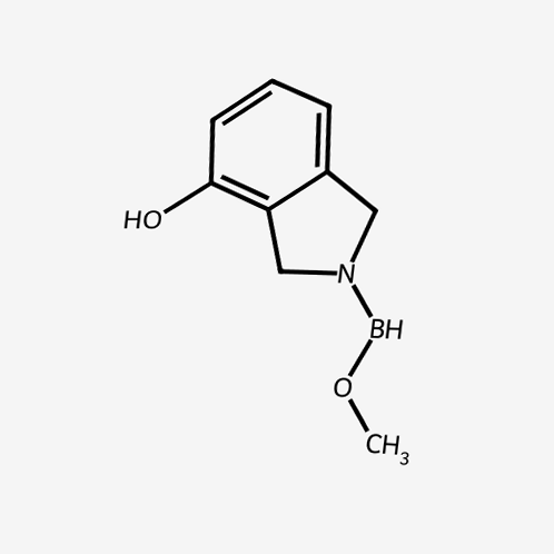 COBN1Cc2cccc(O)c2C1